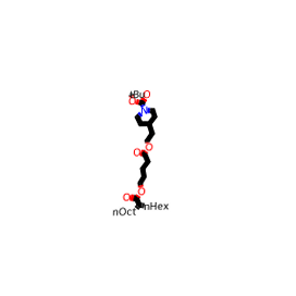 CCCCCCCCC(CCCCCC)C(=O)OCCCCC(=O)OCCC1CCN(C(=O)OC(C)(C)C)CC1